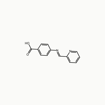 O=C(O)c1ccc(N=Cc2ccccn2)cc1